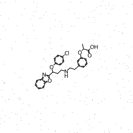 CC(Oc1cccc(CCNCCC(Oc2ccc(Cl)cc2)c2nc3ccccc3o2)c1)C(=O)O